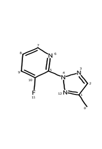 Cc1cnn(-c2ncccc2F)n1